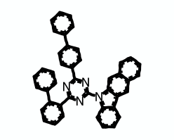 c1ccc(-c2ccc(-c3nc(-c4ccccc4-c4ccccc4)nc(-n4c5ccccc5c5cc6ccccc6cc54)n3)cc2)cc1